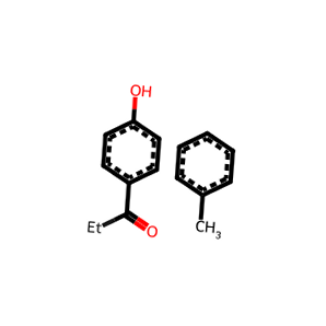 CCC(=O)c1ccc(O)cc1.Cc1ccccc1